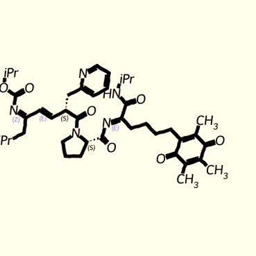 CC1=C(C)C(=O)C(CCCC/C(=N\C(=O)[C@@H]2CCCN2C(=O)[C@H](/C=C/C(CC(C)C)=N\C(=O)OC(C)C)Cc2ccccn2)C(=O)NC(C)C)=C(C)C1=O